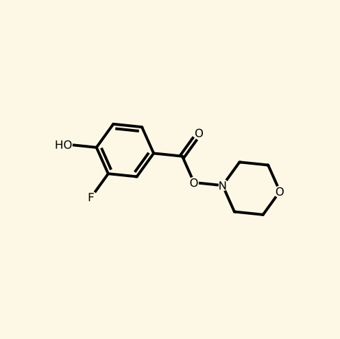 O=C(ON1CCOCC1)c1ccc(O)c(F)c1